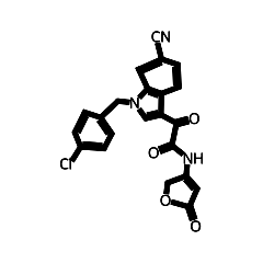 N#Cc1ccc2c(C(=O)C(=O)NC3=CC(=O)OC3)cn(Cc3ccc(Cl)cc3)c2c1